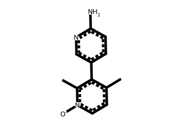 Cc1cc[n+]([O-])c(C)c1-c1ccc(N)nc1